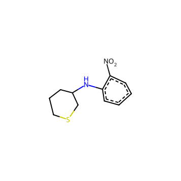 O=[N+]([O-])c1ccccc1NC1CCCSC1